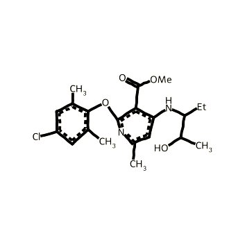 CCC(Nc1cc(C)nc(Oc2c(C)cc(Cl)cc2C)c1C(=O)OC)C(C)O